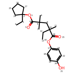 CCC1(OC(=O)C(C)(C)CC(C)(CC)C(=O)Oc2ccc(O)cc2)CCCC1